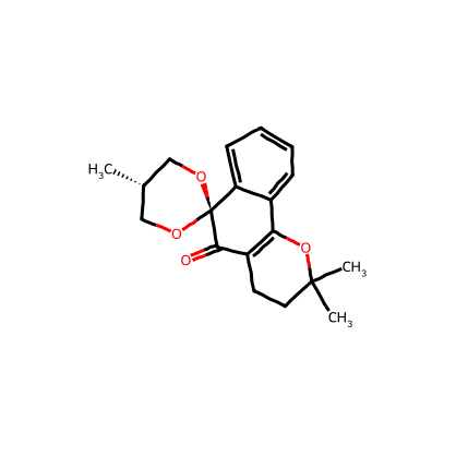 CC1(C)CCC2=C(O1)c1ccccc1[C@]1(OC[C@@H](C)CO1)C2=O